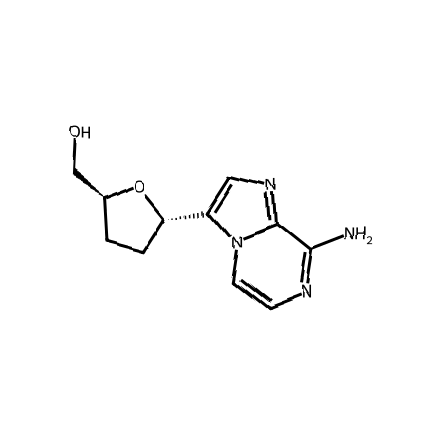 Nc1nccn2c([C@@H]3CC[C@@H](CO)O3)cnc12